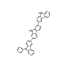 c1ccc(-n2c3ccccc3c3cc(-c4ccc5c(c4)[nH]c4cc(-c6ccc7[nH]c8ccccc8c7c6)ccc45)ccc32)cc1